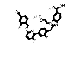 COCCn1c(Cc2ccc(-c3nc(OCc4ccc(C#N)cc4F)ccc3F)cc2F)nc2ccc(C(O)O)cc21